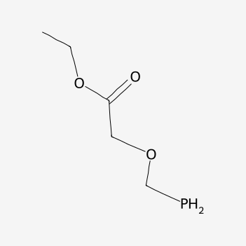 CCOC(=O)COCP